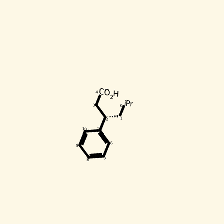 CC(C)C[C@@H](CC(=O)O)c1ccccc1